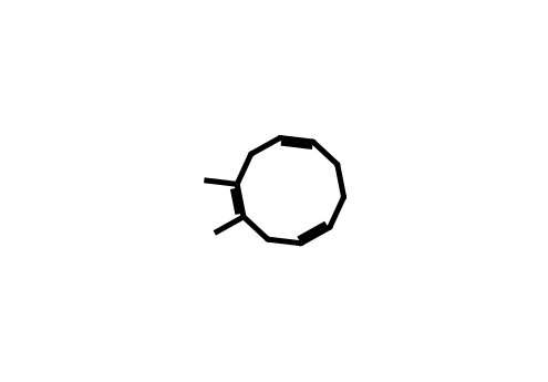 CC1=C(C)CC=CCCC=CC1